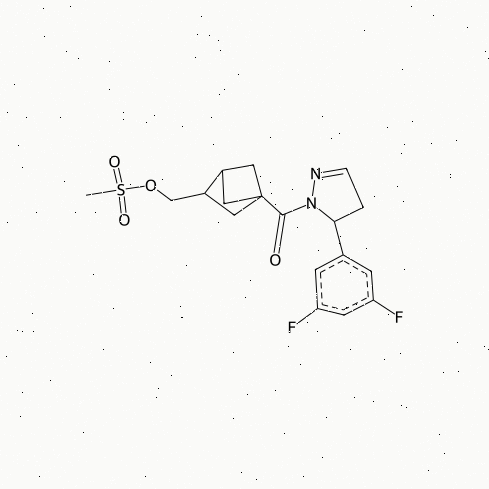 CS(=O)(=O)OCC1CC2(C(=O)N3N=CCC3c3cc(F)cc(F)c3)CC1C2